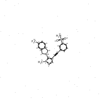 Cn1ncc(C#Cc2cccc(S(N)(=O)=O)c2)c1N1Cc2ccc(C(F)(F)F)cc2C1